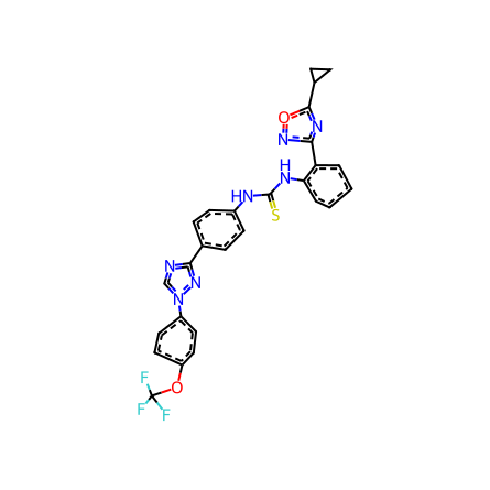 FC(F)(F)Oc1ccc(-n2cnc(-c3ccc(NC(=S)Nc4ccccc4-c4noc(C5CC5)n4)cc3)n2)cc1